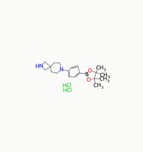 CC1(C)OB(c2ccc(N3CCC4(CC3)CNC4)cc2)OC1(C)C.Cl.Cl